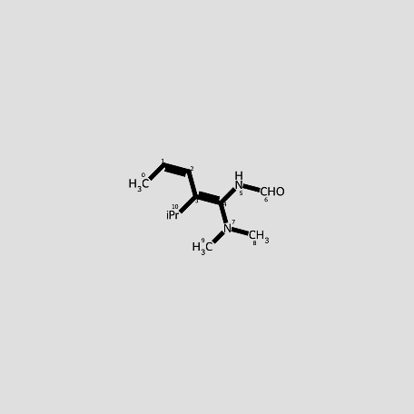 C/C=C\C(=C(/NC=O)N(C)C)C(C)C